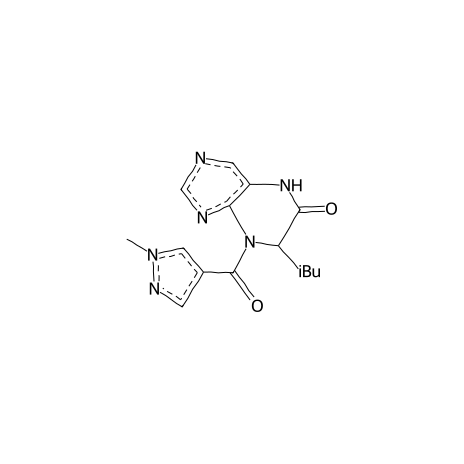 CCC(C)C1C(=O)Nc2cncnc2N1C(=O)c1cnn(C)c1